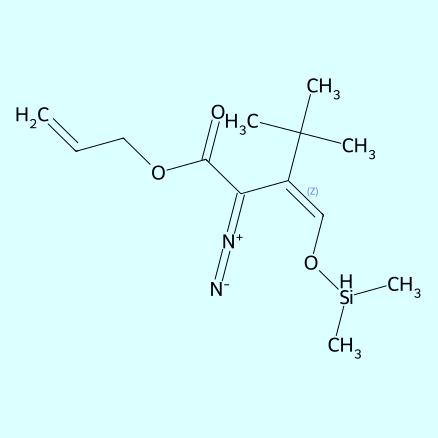 C=CCOC(=O)C(=[N+]=[N-])/C(=C\O[SiH](C)C)C(C)(C)C